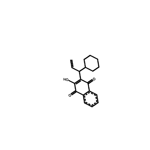 C=CC(C1=C(O)C(=O)c2ccccc2C1=O)C1CCCCC1